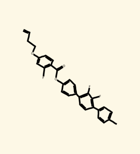 C=CCCOc1ccc(C(=O)Oc2ccc(-c3ccc(-c4ccc(C)cc4)c(F)c3F)cc2)c(F)c1